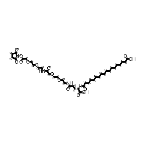 O=C(O)CCCCCCCCCCCCCCCCC(=O)N[C@H](CCC(=O)NCCOCCOCC(=O)NCCOCCOCC(=O)ON1C(=O)CCC1=O)C(=O)O